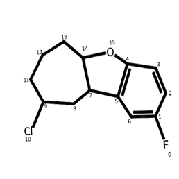 Fc1ccc2c(c1)C1CC(Cl)CCCC1O2